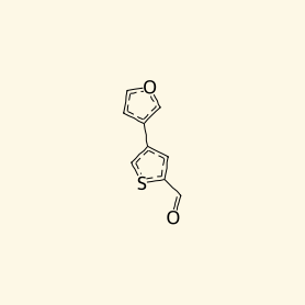 O=Cc1cc(-c2ccoc2)cs1